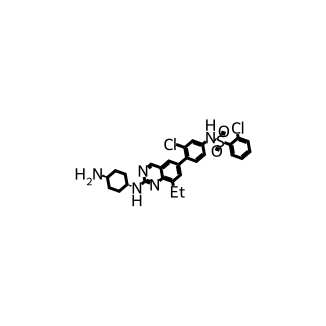 CCc1cc(-c2ccc(NS(=O)(=O)c3ccccc3Cl)cc2Cl)cc2cnc(N[C@H]3CC[C@H](N)CC3)nc12